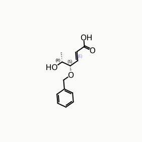 C[C@@H](O)[C@H](/C=C/C(=O)O)OCc1ccccc1